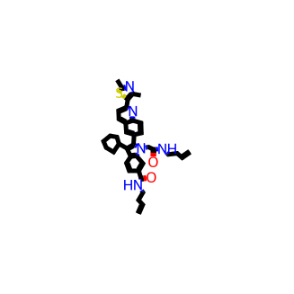 C=CCCNC(=O)Cn1c(-c2ccc3nc(-c4sc(C)nc4C)ccc3c2)c(C2CCCCC2)c2ccc(C(=O)NCCC=C)cc21